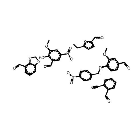 CCc1ccc(C=O)o1.COc1cc(C=O)ccc1OCc1ccc([N+](=O)[O-])cc1.COc1cc([N+](=O)[O-])cc(C=O)c1O.N#Cc1ccccc1C=O.O=Cc1cccc2c1OCO2